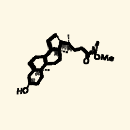 CON(C)C(=O)CC[C@@H](C)[C@H]1CCC2C3CC=C4C[C@@H](O)CC[C@]4(C)C3CC[C@@]21C